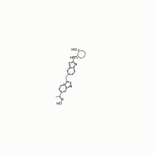 CC(=NO)c1ccn2c(Cc3ccc4nc(N[C@@H]5CCCC[C@H]5O)sc4c3)cnc2c1